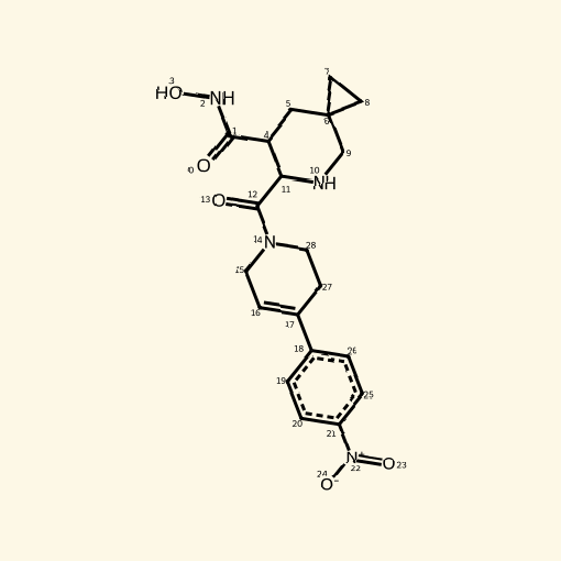 O=C(NO)C1CC2(CC2)CNC1C(=O)N1CC=C(c2ccc([N+](=O)[O-])cc2)CC1